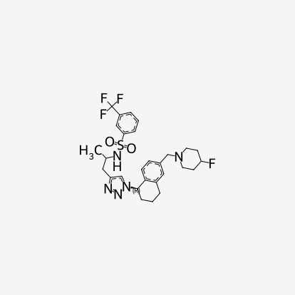 CC(Cc1cn([C@@H]2CCCc3cc(CN4CCC(F)CC4)ccc32)nn1)NS(=O)(=O)c1cccc(C(F)(F)F)c1